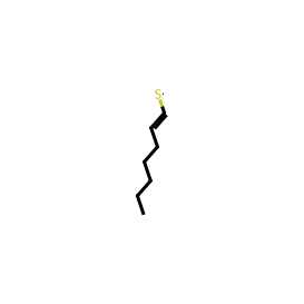 CCCCCC=C[S]